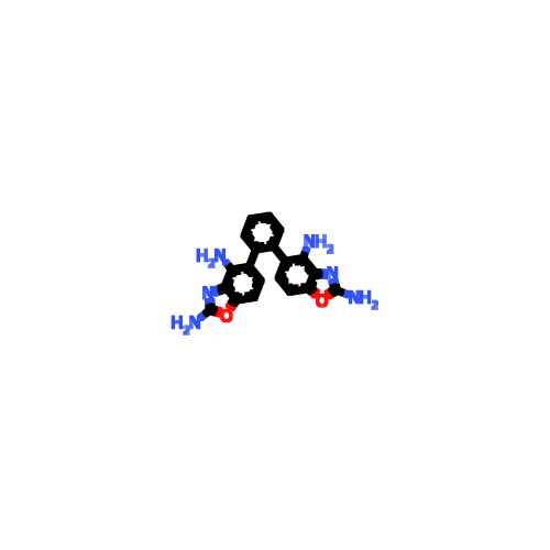 Nc1nc2c(N)c(-c3ccccc3-c3ccc4oc(N)nc4c3N)ccc2o1